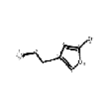 CCc1cc(CCN)co1